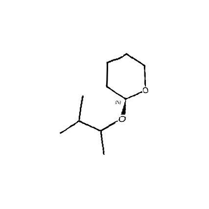 CC(C)C(C)O[C@H]1CCCCO1